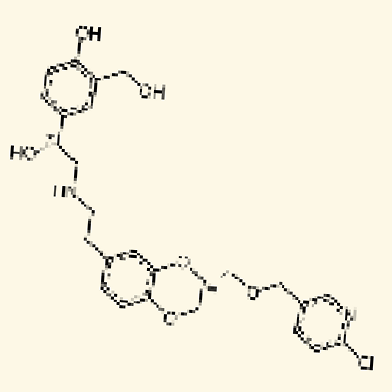 OCc1cc([C@@H](O)CNCCc2ccc3c(c2)O[C@H](COCc2ccc(Cl)nc2)CO3)ccc1O